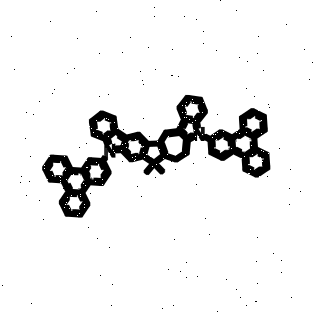 CC1(C)C2=C(C=c3c(n(-c4ccc5c6ccccc6c6ccccc6c5c4)c4ccccc34)=CC2)c2cc3c4ccccc4n(-c4ccc5c6ccccc6c6ccccc6c5c4)c3cc21